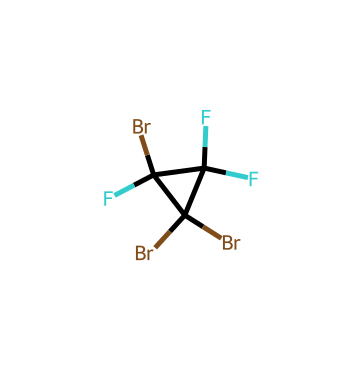 FC1(F)C(F)(Br)C1(Br)Br